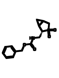 O=C(NC[C@@H]1C2CC2CS1(=O)=O)OCc1ccccc1